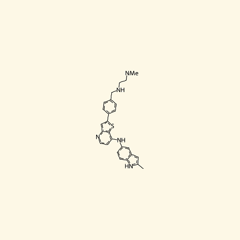 CNCCNCc1ccc(-c2cc3nccc(Nc4ccc5[nH]c(C)cc5c4)c3s2)cc1